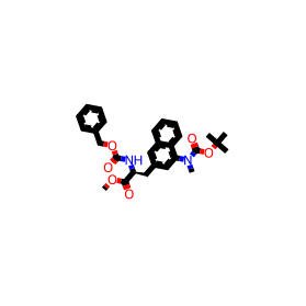 COC(=O)[C@H](Cc1cc(N(C)C(=O)OC(C)(C)C)c2ccccc2c1)NC(=O)OCc1ccccc1